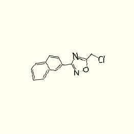 ClCc1nc(-c2ccc3ccccc3c2)no1